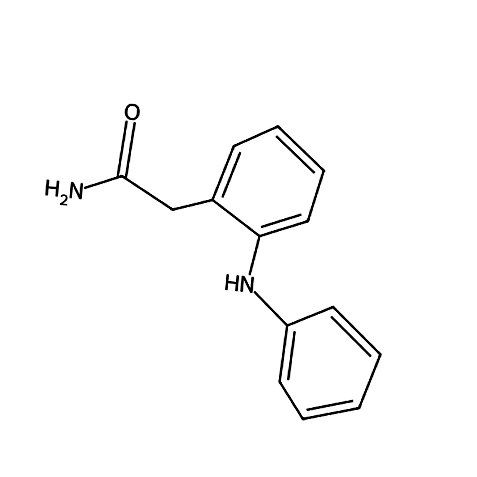 NC(=O)Cc1ccccc1Nc1ccccc1